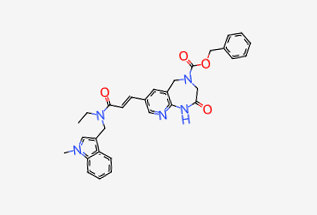 CCN(Cc1cn(C)c2ccccc12)C(=O)/C=C/c1cnc2c(c1)CN(C(=O)OCc1ccccc1)CC(=O)N2